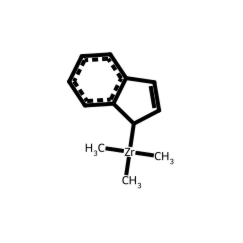 [CH3][Zr]([CH3])([CH3])[CH]1C=Cc2ccccc21